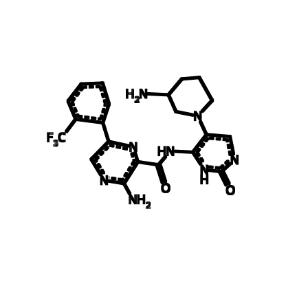 Nc1ncc(-c2ccccc2C(F)(F)F)nc1C(=O)Nc1[nH]c(=O)ncc1N1CCCC(N)C1